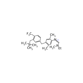 CCN(C)/C=N\c1cc(C)c(Cc2ccc(C(F)(F)F)c(C[Si](C)(C)C)c2)cc1C